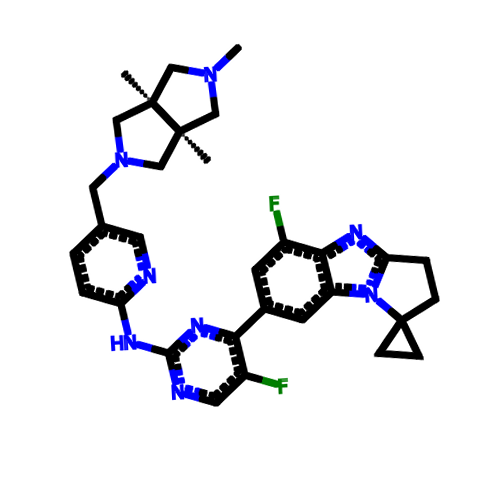 CN1C[C@@]2(C)CN(Cc3ccc(Nc4ncc(F)c(-c5cc(F)c6nc7n(c6c5)C5(CC7)CC5)n4)nc3)C[C@@]2(C)C1